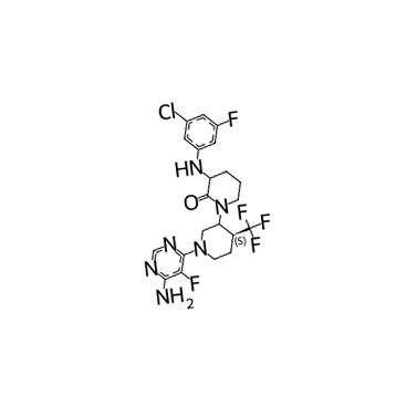 Nc1ncnc(N2CC[C@H](C(F)(F)F)C(N3CCCC(Nc4cc(F)cc(Cl)c4)C3=O)C2)c1F